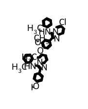 COc1cc(-c2nc3ccc(Cl)cn3c2Nc2ccccc2C)ccc1Oc1ccc2nc(-c3ccc(OI)cc3)c(Nc3ccccc3C)n2c1C